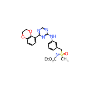 CCOC(=O)N=S(C)(=O)Cc1cccc(Nc2ncnc(-c3cccc4c3OCCO4)n2)c1